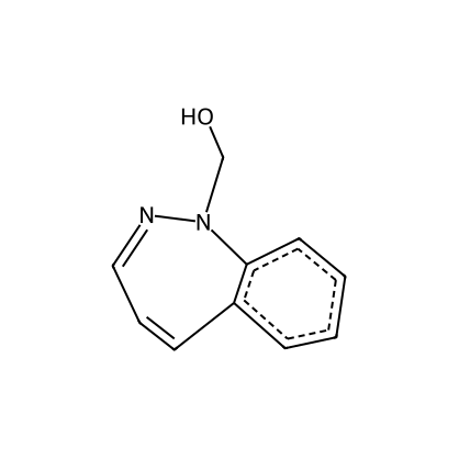 OCN1N=CC=Cc2ccccc21